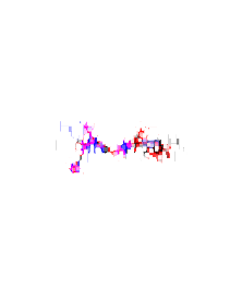 COC(C(C)O)C(C)[C@H]1O[C@]1(C)CC(C)/C=C/C=C(\C)[C@H]1O[C@@H](CC(=O)O)C[C@@H](OC(=O)N2CCN(C(=O)OCc3ccc(NC(=O)C(CCCNC(N)=O)NC(=O)C(NC(=O)CCCCCN4C(=O)C=CC4=O)C(C)C)cc3)CC2)[C@@H]1C